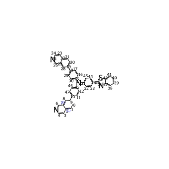 C/C=c1/ccnc/c1=C/Cc1ccc(N(c2ccc(-c3ccc4ccncc4c3)cc2)c2ccc(-c3nc4ccccc4s3)cc2)cc1